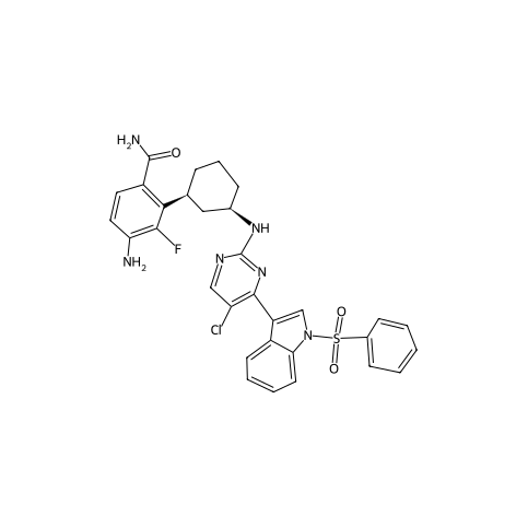 NC(=O)c1ccc(N)c(F)c1[C@H]1CCC[C@@H](Nc2ncc(Cl)c(-c3cn(S(=O)(=O)c4ccccc4)c4ccccc34)n2)C1